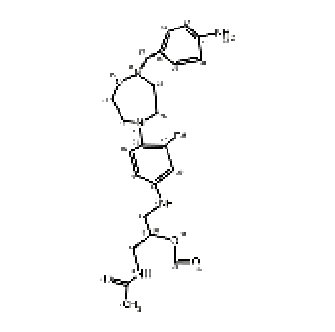 CC(=O)NC[C@@H](CNc1ccc(N2CCON(Cc3ccc(N)cc3)CC2)c(F)c1)OC=O